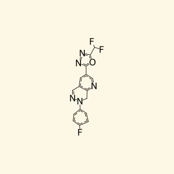 Fc1ccc(N2Cc3ncc(-c4nnc(C(F)F)o4)cc3C=N2)cc1